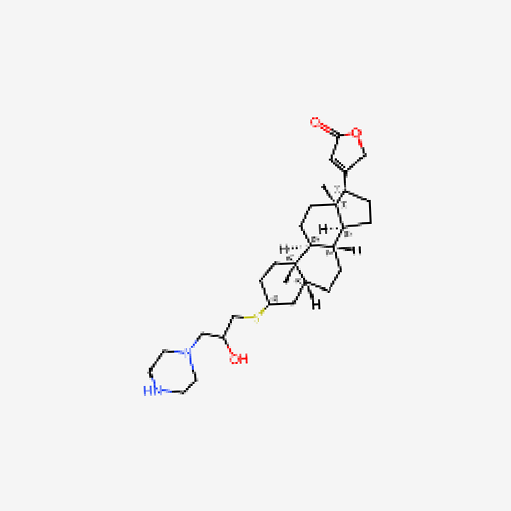 C[C@]12CC[C@H](SCC(O)CN3CCNCC3)C[C@H]1CC[C@@H]1[C@@H]2CC[C@]2(C)[C@@H](C3=CC(=O)OC3)CC[C@@H]12